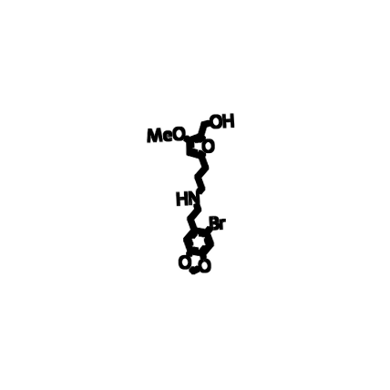 COc1cc(CCCNCCc2cc3c(cc2Br)OCO3)oc1CO